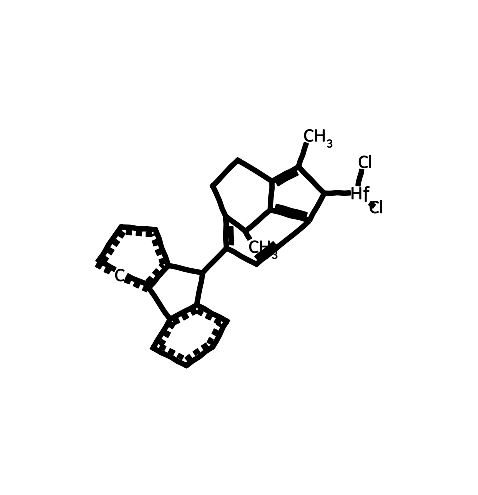 CC1=C2CCC3=C(C4c5ccccc5-c5ccccc54)C=CC(=C2C3C)[CH]1[Hf]([Cl])[Cl]